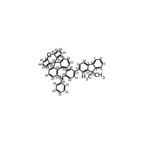 CC1(C)c2ccccc2-c2ccc(-c3ccc(N(c4ccccc4)c4cccc5c4-c4ccccc4C54c5ccccc5Oc5ccccc54)cc3)cc21